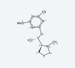 COc1cc(C#N)nc(O[C@@H](C)[C@@H]2CCCN2C)n1